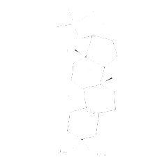 COC1(OC)CCC2=C(CC[C@@H]3[C@@H]2CC[C@@]2(C)[C@H]3CC[C@@]2(O[Si](C)(C)C)C(F)(F)F)C1